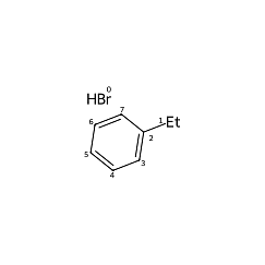 Br.CCc1ccccc1